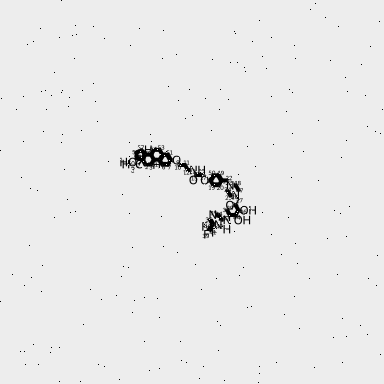 C[C@]12CC[C@@H]3c4ccc(OCCCNC(=O)COc5ccc(CN6CCN(C[C@H]7OC[C@H](Nc8cncc(C(F)(F)F)n8)[C@@H](O)[C@H]7O)CC6)cc5)cc4CC[C@H]3[C@@H]1CC[C@@H]2O